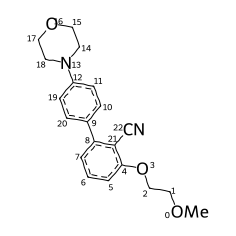 COCCOc1cccc(-c2ccc(N3CCOCC3)cc2)c1C#N